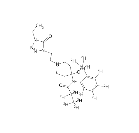 [2H]c1c([2H])c([2H])c(N(C(=O)C([2H])([2H])C([2H])([2H])[2H])C2(OC([2H])([2H])[2H])CCN(CCn3nnn(CC)c3=O)CC2)c([2H])c1[2H]